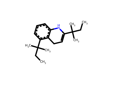 CCC(C)(C)C1=CCc2c(cccc2C(C)(C)CC)N1